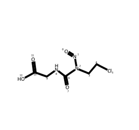 O=NN(CCCl)C(=O)NCC(=O)O